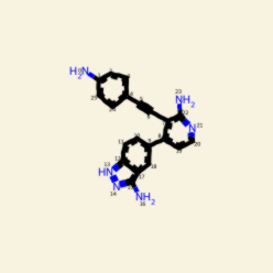 Nc1ccc(C#Cc2c(-c3ccc4[nH]nc(N)c4c3)ccnc2N)cc1